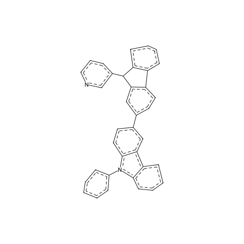 c1ccc(-n2c3ccccc3c3cc(-c4ccc5c(c4)C(c4cccnc4)c4ccccc4-5)ccc32)cc1